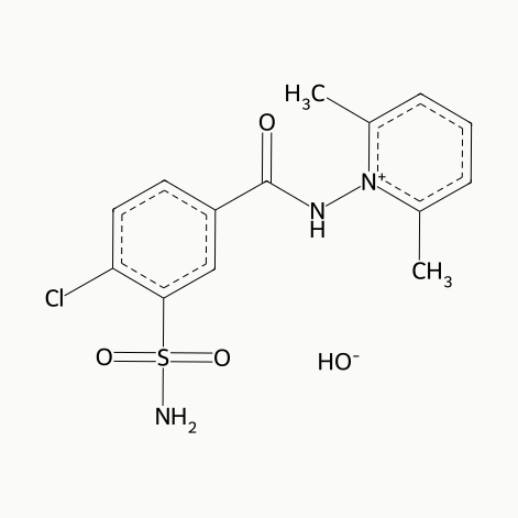 Cc1cccc(C)[n+]1NC(=O)c1ccc(Cl)c(S(N)(=O)=O)c1.[OH-]